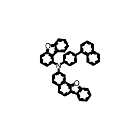 c1ccc2c(-c3ccc(N(c4ccc5ccc6c7ccccc7oc6c5c4)c4cccc5oc6ccccc6c45)cc3)cccc2c1